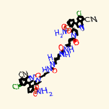 CN1Cc2c(C#N)cc(Cl)cc2C(c2cccc(S(N)(=O)=O)c2[C@@H]2CCN(C(=O)CCCNC(=O)NCCCCNC(=O)NCCCC(=O)N3CC[C@@H](c4c(C5CN(C)Cc6c(C#N)cc(Cl)cc65)cccc4S(N)(=O)=O)C3)C2)C1